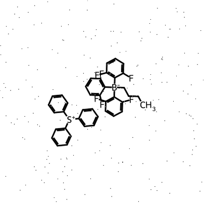 CCCC[B-](c1c(F)cccc1F)(c1c(F)cccc1F)c1c(F)cccc1F.c1ccc([S+](c2ccccc2)c2ccccc2)cc1